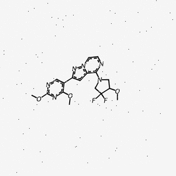 COc1ncc(-c2cc3c(N4CC(OC)C(F)(F)C4)nccn3n2)c(OC)n1